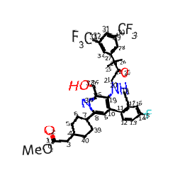 COC(=O)CC1CCC(c2cc(-c3ccc(F)cc3C)c(NCC(=O)C(C)(C)c3cc(C(F)(F)F)cc(C(F)(F)F)c3)c(CO)n2)CC1